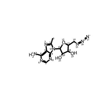 Cc1nc2c(N)ncnc2n1C1OC(CN=[N+]=[N-])C(O)C1O